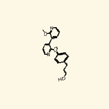 COc1ncccc1-c1cccnc1Oc1ccc(CCCO)cc1